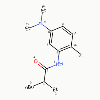 CCCCC(CC)C(=O)Nc1cc(N(CC)CC)ccc1C